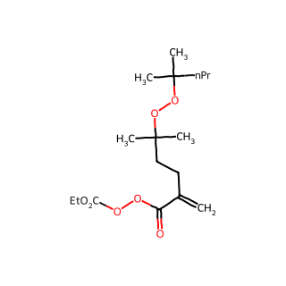 C=C(CCC(C)(C)OOC(C)(C)CCC)C(=O)OOC(=O)OCC